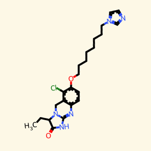 CCC1C(=O)NC2=Nc3ccc(OCCCCCCCCn4ccnc4)c(Cl)c3CN21